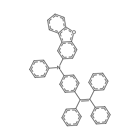 c1ccc(C(=C(c2ccccc2)c2ccc(N(c3ccccc3)c3ccc4oc5ccccc5c4c3)cc2)c2ccccc2)cc1